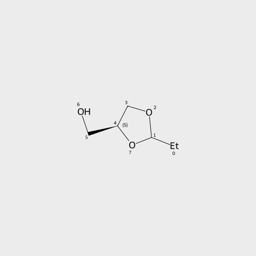 CCC1OC[C@H](CO)O1